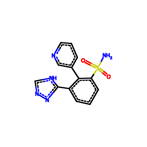 NS(=O)(=O)c1cccc(-c2nnc[nH]2)c1-c1cccnc1